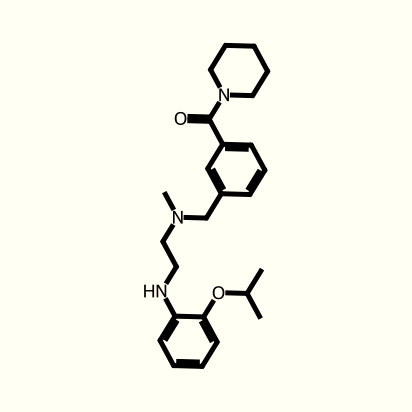 CC(C)Oc1ccccc1NCCN(C)Cc1cccc(C(=O)N2CCCCC2)c1